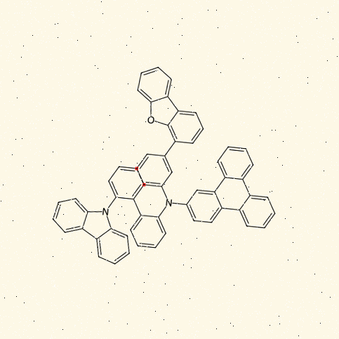 c1cc(-c2cccc3c2oc2ccccc23)cc(N(c2ccc3c4ccccc4c4ccccc4c3c2)c2ccccc2-c2ccccc2-n2c3ccccc3c3ccccc32)c1